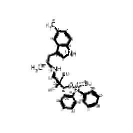 Cc1ccc2[nH]cc(C[C@@H](C)NCC(F)(F)CO[Si](c3ccccc3)(c3ccccc3)C(C)(C)C)c2c1